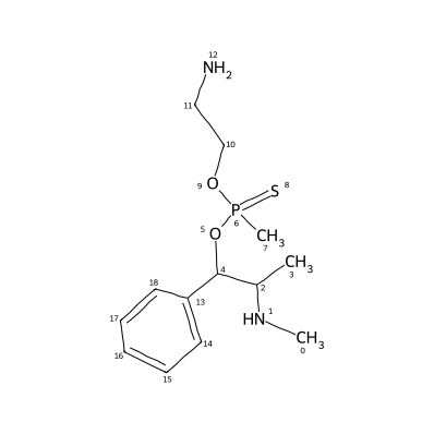 CNC(C)C(OP(C)(=S)OCCN)c1ccccc1